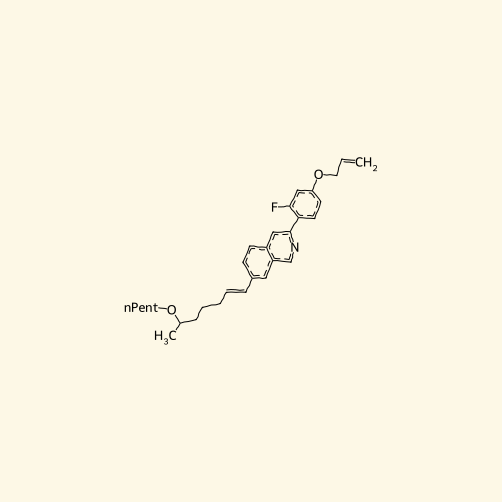 C=CCOc1ccc(-c2cc3ccc(/C=C/CCCC(C)OCCCCC)cc3cn2)c(F)c1